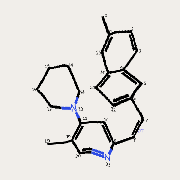 Cc1ccc2cc(/C=C\c3cc(N4CCCCC4)c(C)cn3)ccc2c1